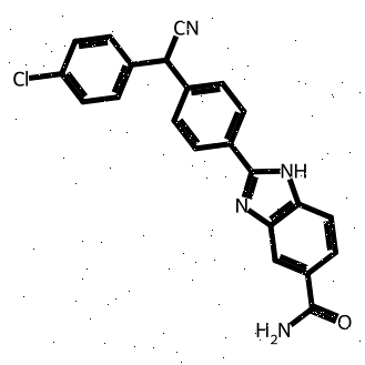 N#CC(c1ccc(Cl)cc1)c1ccc(-c2nc3cc(C(N)=O)ccc3[nH]2)cc1